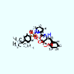 CC(C)(C)c1ccc(S(=O)(=O)N2CCC[C@H]2C(=O)N[C@@H](Cc2ccccc2)C(=O)O)cc1